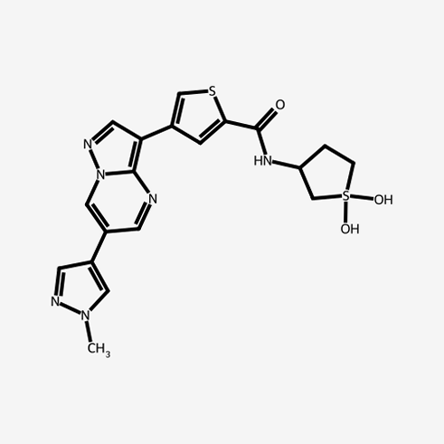 Cn1cc(-c2cnc3c(-c4csc(C(=O)NC5CCS(O)(O)C5)c4)cnn3c2)cn1